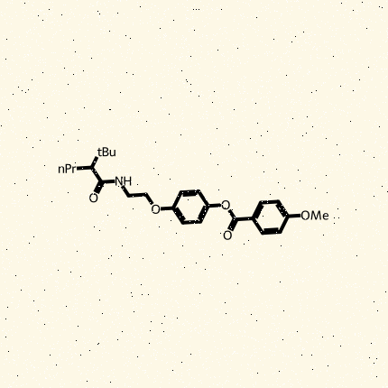 CCCC(C(=O)NCCOc1ccc(OC(=O)c2ccc(OC)cc2)cc1)C(C)(C)C